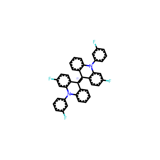 Fc1cccc(N2c3ccccc3/C(=C3/c4ccccc4N(c4cccc(F)c4)c4cc(F)ccc43)c3ccc(F)cc32)c1